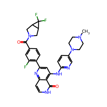 CN1CCN(c2ccc(Nc3cc(-c4ccc(C(=O)N5CC6C(C5)C6(F)F)cc4F)nc4cc[nH]c(=O)c34)nc2)CC1